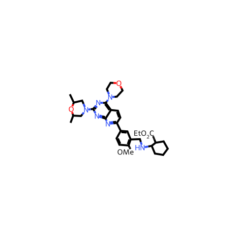 CCOC(=O)C1CCCCC1NCc1cc(-c2ccc3c(N4CCOCC4)nc(N4CC(C)OC(C)C4)nc3n2)ccc1OC